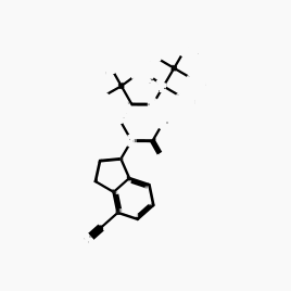 CC(C)(C)[C@@H](CN(C(=O)O)C1CCc2c(C#N)cccc21)O[Si](C)(C)C(C)(C)C